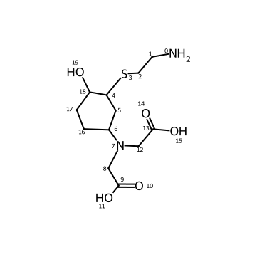 NCCSC1CC(N(CC(=O)O)CC(=O)O)CCC1O